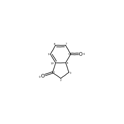 O=C1CCC2C(=O)C=CC=C12